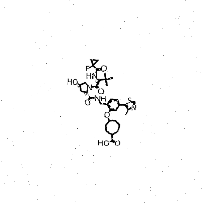 Cc1ncsc1-c1ccc(CNC(=O)[C@@H]2C[C@@H](O)CN2C(=O)[C@@H](NC(=O)C2(F)CC2)C(C)(C)C)c(OC2CCCC(C(=O)O)CC2)c1